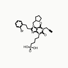 C#CCn1c(=O)c2c(nc(CCc3ccccc3Br)n2CC2CCCC2)n(CCCCP(=O)(O)O)c1=O